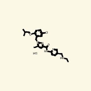 CCNCc1ccc(NC(=O)c2cc(C)n(Cc3cc(Cl)ccc3OCC(C)C)n2)nc1.Cl